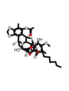 CCCCCCCC(=O)O[C@H]1CS[C@@H]2c3c(OC(C)=O)c(C)c4c(c3[C@H](COC1=O)N1C2[C@H]2c3c(cc(C)c(OC)c3O)C[C@@H]([C@@H]1O)N2C)OCO4